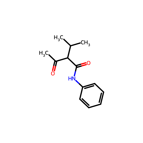 CC(=O)C(C(=O)Nc1ccccc1)C(C)C